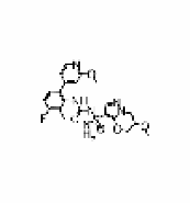 COc1cc(-c2ccc(F)c(C)c2NC(=O)N=S(N)(=O)c2cnn3c2OCC(OC)C3)ccn1